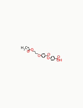 C=CC(=O)OCCCCOc1ccc(C(=O)Oc2ccc(C(=O)O)cc2)cc1